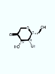 O=C1CO[C@H](CO)[C@H](O)[C@@H]1O